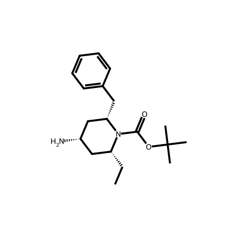 CC[C@@H]1C[C@H](N)C[C@H](Cc2ccccc2)N1C(=O)OC(C)(C)C